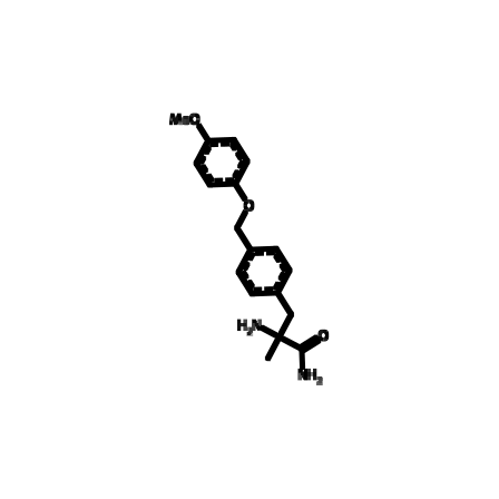 COc1ccc(OCc2ccc(CC(C)(N)C(N)=O)cc2)cc1